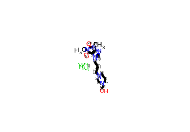 Cl.Cn1c(=O)c2c(ncn2CCCN2CCCN(CCO)CC2)n(C)c1=O